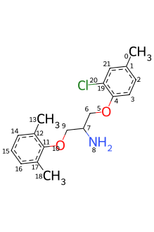 Cc1ccc(OCC(N)COc2c(C)cccc2C)c(Cl)c1